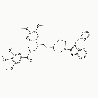 COc1ccc(C(CCN2CCCN(c3nc4ccccc4n3Cc3ccco3)CC2)CN(C)C(=O)c2cc(OC)c(OC)c(OC)c2)cc1OC